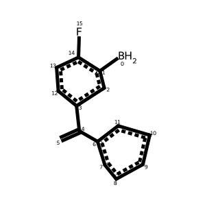 Bc1cc(C(=C)c2ccccc2)ccc1F